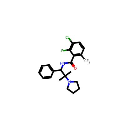 CC(C)(C(NC(=O)c1c(C(F)(F)F)ccc(Cl)c1F)c1ccccc1)N1CCCC1